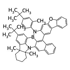 Cc1cc(C(C)(C)C)ccc1N1B2c3cc(C(C)(C)C)cc4c3N(c3cc5ccccc5c(c32)-c2cc3c(cc21)oc1ccccc13)C1(C)CCCCC41C